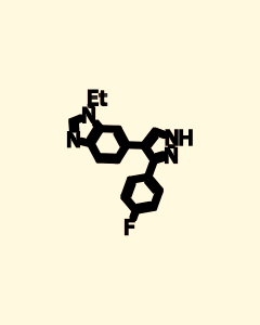 CCn1cnc2ccc(-c3c[nH]nc3-c3ccc(F)cc3)cc21